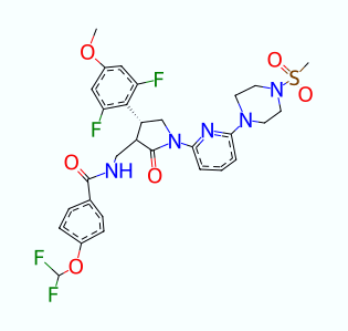 COc1cc(F)c([C@@H]2CN(c3cccc(N4CCN(S(C)(=O)=O)CC4)n3)C(=O)C2CNC(=O)c2ccc(OC(F)F)cc2)c(F)c1